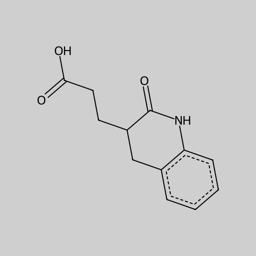 O=C(O)CCC1Cc2ccccc2NC1=O